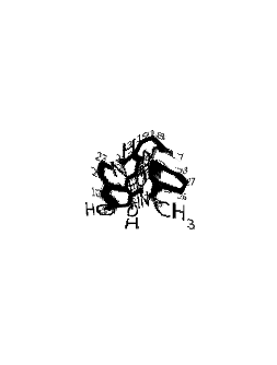 C[C@@H](NC(=O)c1c(O)c(O)cc2c1[C@H]1C[C@H]3NCCC[C@H]3CN1CC2)c1ccccc1